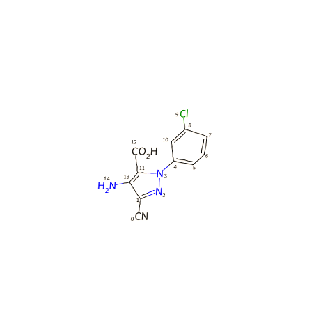 N#Cc1nn(-c2cccc(Cl)c2)c(C(=O)O)c1N